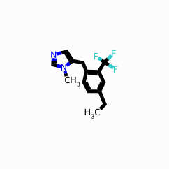 CCc1ccc(Cc2cncn2C)c(C(F)(F)F)c1